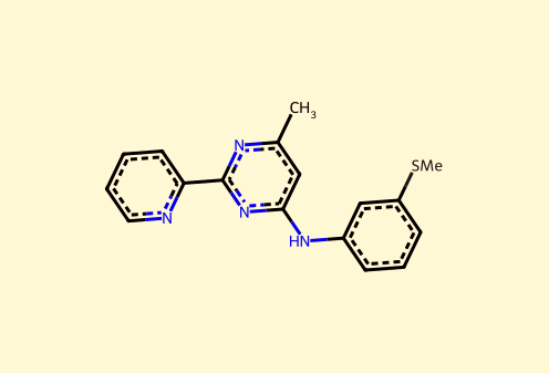 CSc1cccc(Nc2cc(C)nc(-c3ccccn3)n2)c1